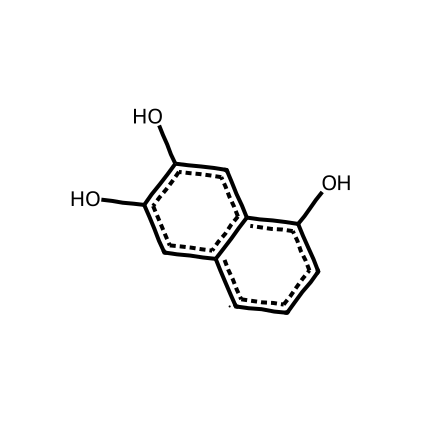 Oc1cc2[c]ccc(O)c2cc1O